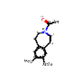 COc1cc2c(cc1OC)CCN(C(=O)C(C)C)CC2